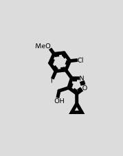 COc1cc(Cl)c(-c2noc(C3CC3)c2CO)c(I)c1